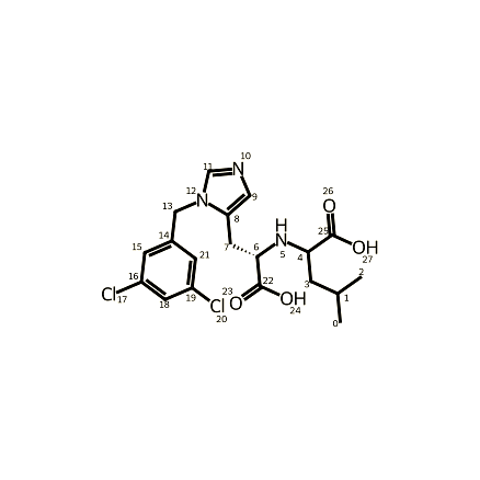 CC(C)CC(N[C@@H](Cc1cncn1Cc1cc(Cl)cc(Cl)c1)C(=O)O)C(=O)O